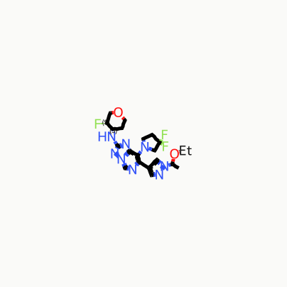 CCOC(C)n1cc(-c2ncn3nc(N[C@H]4CCOC[C@H]4F)nc3c2N2CCC(F)(F)C2)cn1